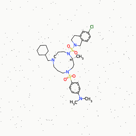 C[C@@H]1CCN(S(=O)(=O)c2ccc(N(C)C)cc2)CCCN(CC2CCCCC2)CCCN1S(=O)(=O)N1CCc2cc(Cl)ccc2C1